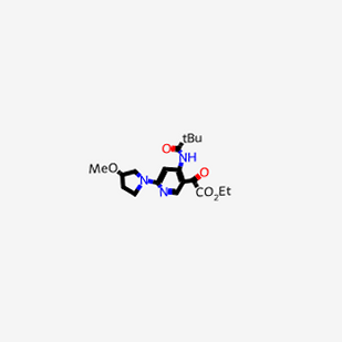 CCOC(=O)C(=O)c1cnc(N2CCC(OC)C2)cc1NC(=O)C(C)(C)C